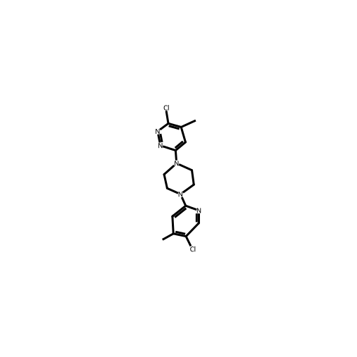 Cc1cc(N2CCN(c3cc(C)c(Cl)nn3)CC2)ncc1Cl